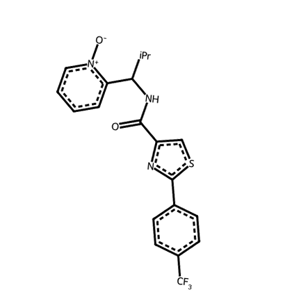 CC(C)C(NC(=O)c1csc(-c2ccc(C(F)(F)F)cc2)n1)c1cccc[n+]1[O-]